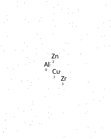 [Al].[Cu].[Zn].[Zr]